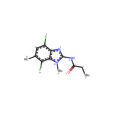 CC(C)(C)CC(=O)Nc1nc2c(F)cc(C#N)c(F)c2n1C(C)(C)C